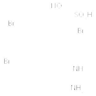 NNc1cc(Br)c(Br)cc1Br.O=S(=O)(O)O